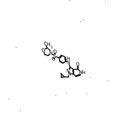 CC1CN(S(=O)(=O)c2ccc(Nc3nn(CC4CC4)c4cc[nH]c(=O)c34)cc2)CCO1